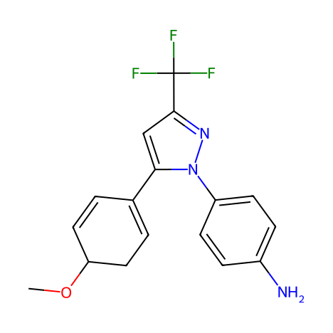 COC1C=CC(c2cc(C(F)(F)F)nn2-c2ccc(N)cc2)=CC1